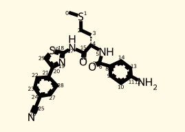 CSCC[C@H](NC(=O)c1ccc(N)cc1)C(=O)Nc1nc(-c2ccc(C#N)cc2)cs1